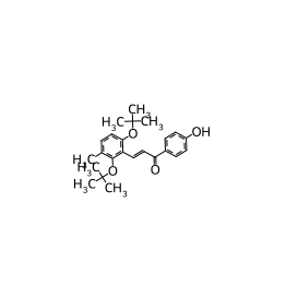 Cc1ccc(OC(C)(C)C)c(/C=C/C(=O)c2ccc(O)cc2)c1OC(C)(C)C